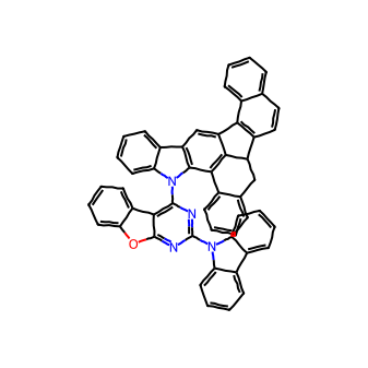 c1ccc2c(c1)CC1c3ccc4ccccc4c3-c3cc4c5ccccc5n(-c5nc(-n6c7ccccc7c7ccccc76)nc6oc7ccccc7c56)c4c-2c31